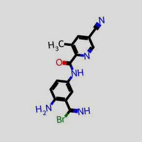 Cc1cc(C#N)cnc1C(=O)Nc1ccc(N)c(C(=N)Br)c1